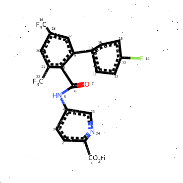 O=C(O)c1ccc(NC(=O)c2c(-c3ccc(F)cc3)cc(C(F)(F)F)cc2C(F)(F)F)cn1